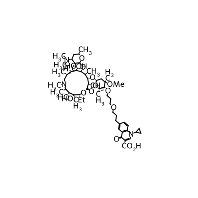 CC[C@H]1OC(=O)[C@H](C)[C@@H](O[C@H]2C[C@@](C)(OC)[C@@H](OCCCOCCCc3ccc4c(c3)c(=O)c(C(=O)O)cn4C3CC3)[C@H](C)O2)[C@H](C)[C@@H](O[C@@H]2O[C@H](C)C[C@H](N(C)C)[C@H]2O)[C@](C)(O)C[C@@H](C)CN(C)[C@H](C)[C@@H](O)[C@]1(C)O